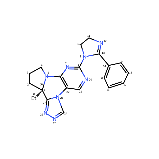 CC[C@@]12CCCN1c1nc(N3CCN=C3c3ccccc3)ncc1-n1cnnc12